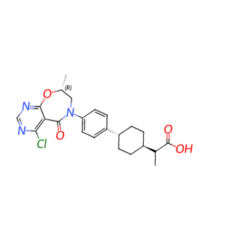 CC(C(=O)O)[C@H]1CC[C@H](c2ccc(N3C[C@@H](C)Oc4ncnc(Cl)c4C3=O)cc2)CC1